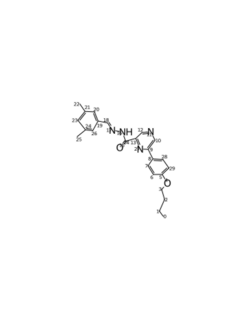 CCCCOc1ccc(-c2cncc(C(=O)NN=Cc3cc(C)cc(C)c3)n2)cc1